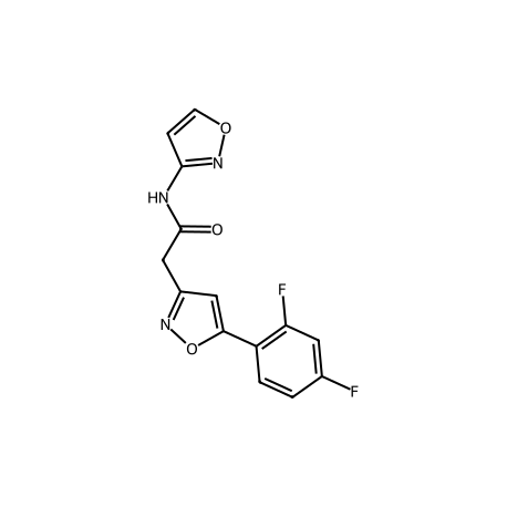 O=C(Cc1cc(-c2ccc(F)cc2F)on1)Nc1ccon1